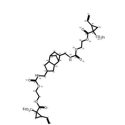 C=CC1CC1(C(=O)OCC)C(=O)OCCOC(=O)NCC1CC2C3CC(CNC(=O)OCCOC(=O)C4(C(=O)OCC)CC4C=C)C(C3)C2C1